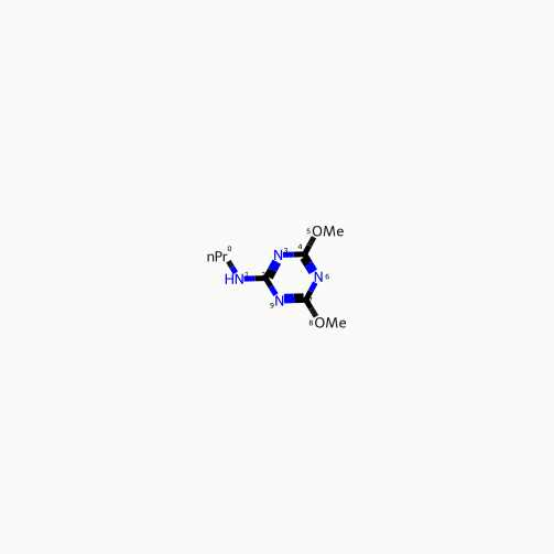 CCCNc1nc(OC)nc(OC)n1